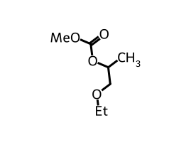 CCOCC(C)OC(=O)OC